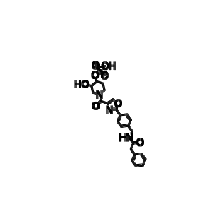 O=C(Cc1ccccc1)NCc1ccc(-c2nc(C(=O)N3CCC(OS(=O)(=O)O)C(O)C3)co2)cc1